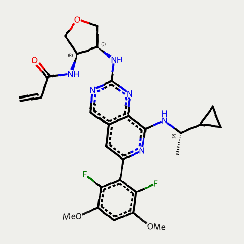 C=CC(=O)N[C@H]1COC[C@H]1Nc1ncc2cc(-c3c(F)c(OC)cc(OC)c3F)nc(N[C@@H](C)C3CC3)c2n1